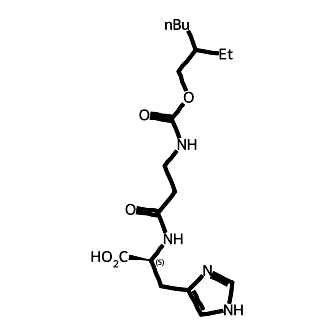 CCCCC(CC)COC(=O)NCCC(=O)N[C@@H](Cc1c[nH]cn1)C(=O)O